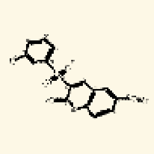 COc1ccc2oc(=O)c(S(=O)(=O)c3cccc(Cl)c3)cc2c1